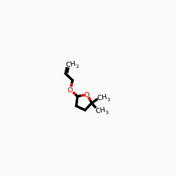 C=CCOC1CCC(C)(C)O1